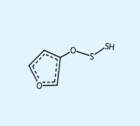 SSOc1ccoc1